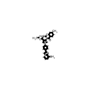 CCOC(=O)c1cn(-c2ccc(-c3cn4cccc(N)c4n3)cc2)nc1N(C(=O)C1CCC(C)CC1)C(C)C